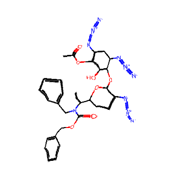 CC(=O)OC1C(N=[N+]=[N-])CC(N=[N+]=[N-])C(OC2OC(C(C)N(Cc3ccccc3)C(=O)OCc3ccccc3)CCC2N=[N+]=[N-])C1O